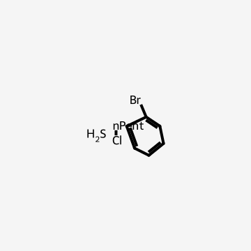 Brc1ccccc1.CCCCCCl.S